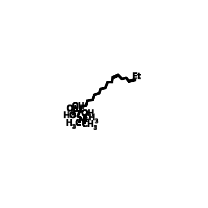 CC/C=C\CC/C=C\CCCCCCCCCCC(O)(C[N+](C)(C)C)P(=O)(O)O